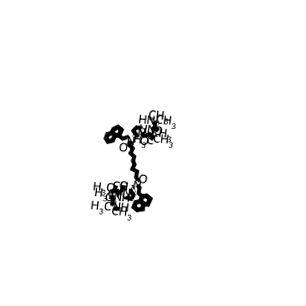 CN[C@@H](C)C(=O)N[C@H](C(=O)N1CCC[C@H]1CN(CCc1cccc2ccccc12)C(=O)CCCCCCCCC(=O)N(CCc1cccc2ccccc12)C[C@@H]1CCCN1C(=O)[C@@H](NC(=O)[C@H](C)NC)C(C)(C)C)C(C)(C)C